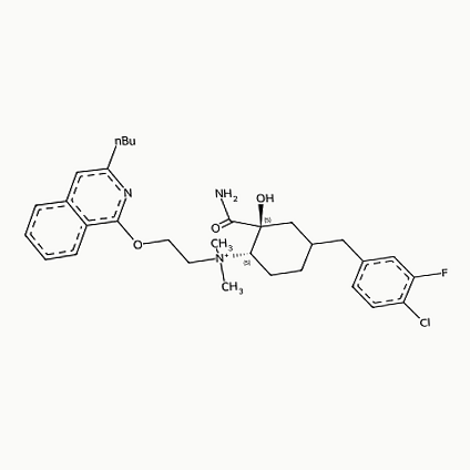 CCCCc1cc2ccccc2c(OCC[N+](C)(C)[C@H]2CCC(Cc3ccc(Cl)c(F)c3)C[C@@]2(O)C(N)=O)n1